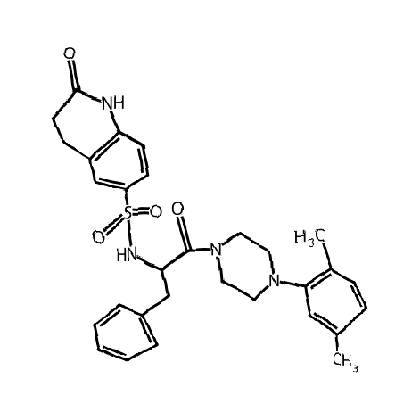 Cc1ccc(C)c(N2CCN(C(=O)C(Cc3ccccc3)NS(=O)(=O)c3ccc4c(c3)CCC(=O)N4)CC2)c1